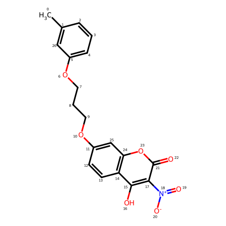 Cc1cccc(OCCCOc2ccc3c(O)c([N+](=O)[O-])c(=O)oc3c2)c1